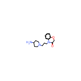 NC1CCN(CCCN2C(=O)COc3ccccc32)CC1